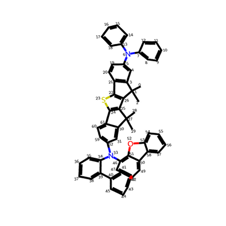 CC1(C)c2cc(N(c3ccccc3)c3ccccc3)ccc2-c2sc3c(c21)C(C)(C)c1cc(N(c2ccccc2-c2ccccc2)c2cccc4c2oc2ccccc24)ccc1-3